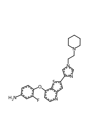 Nc1ccc(Oc2ccnc3cc(-c4cn(CCN5CCCCC5)cn4)sc23)c(F)c1